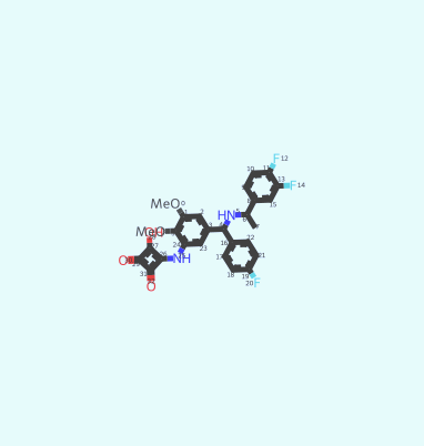 COc1cc(C(NC(C)c2ccc(F)c(F)c2)c2ccc(F)cc2)cc(Nc2c(O)c(=O)c2=O)c1OC